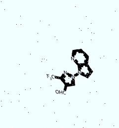 O=Cc1cn(-n2ccc3cccnc32)nc1C(F)(F)F